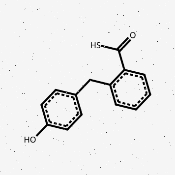 O=C(S)c1ccccc1Cc1ccc(O)cc1